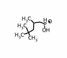 CC(C[PH](=O)O)CC(C)(C)C